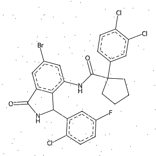 O=C1NC(c2cc(F)ccc2Cl)c2c(NC(=O)C3(c4ccc(Cl)c(Cl)c4)CCCC3)cc(Br)cc21